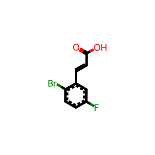 O=C(O)C=Cc1cc(F)ccc1Br